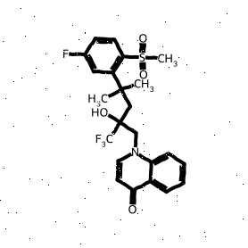 CC(C)(CC(O)(Cn1ccc(=O)c2ccccc21)C(F)(F)F)c1cc(F)ccc1S(C)(=O)=O